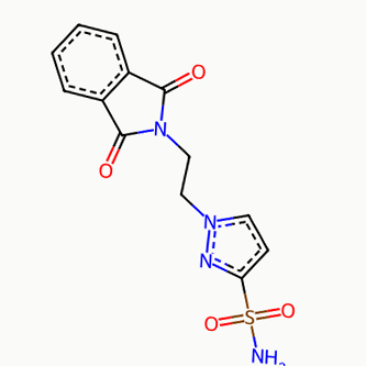 NS(=O)(=O)c1ccn(CCN2C(=O)c3ccccc3C2=O)n1